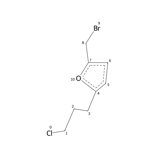 ClCCCc1ccc(CBr)o1